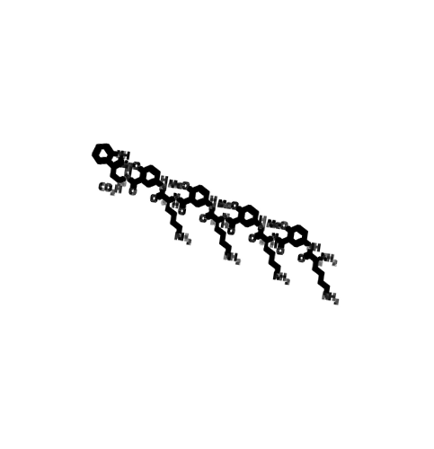 COc1ccc(NC(=O)[C@H](CCCCN)NC(=O)c2cc(NC(=O)[C@H](CCCCN)NC(=O)c3cc(NC(=O)[C@H](CCCCN)NC(=O)c4cc(NC(=O)[C@@H](N)CCCCN)ccc4OC)ccc3OC)ccc2OC)cc1C(=O)N[C@@H](Cc1c[nH]c2ccccc12)C(=O)O